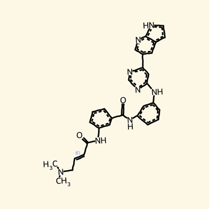 CN(C)C/C=C/C(=O)Nc1cccc(C(=O)Nc2cccc(Nc3cc(-c4cnc5[nH]ccc5c4)ncn3)c2)c1